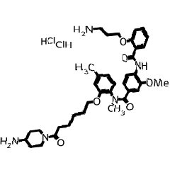 COc1cc(C(=O)N(C)c2ccc(C)cc2OCCCCCC(=O)N2CCC(N)CC2)ccc1NC(=O)c1ccccc1OCCCN.Cl.Cl